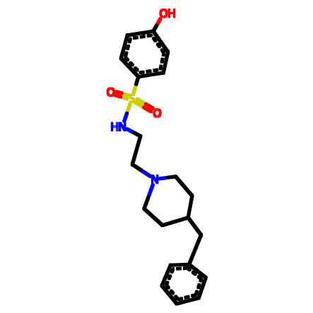 O=S(=O)(NCCN1CCC(Cc2ccccc2)CC1)c1ccc(O)cc1